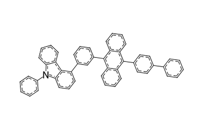 c1ccc(-c2ccc(-c3c4ccccc4c(-c4cccc(-c5cccc6c5c5ccccc5n6-c5ccccc5)c4)c4ccccc34)cc2)cc1